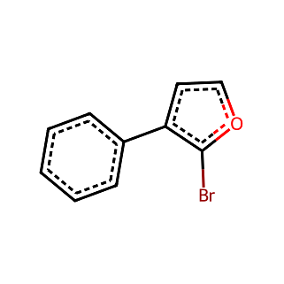 Brc1occc1-c1ccccc1